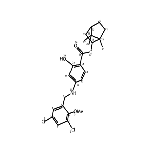 COc1c(Cl)cc(Cl)cc1CNc1ccc(C(=O)OC2CC3CCC2(C)C3(C)C)c(O)c1